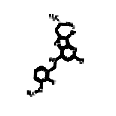 COc1cccc(CNc2cc(Cl)nc3c(Br)c(C[C@H](C)N)oc23)c1F